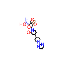 C[C@@](CCn1ccc(C2=CCN(c3ncccn3)CC2)cc1=O)(C(=O)NO)S(C)(=O)=O